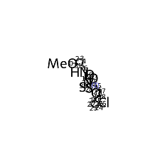 COc1cccc(CNC(=O)CN2C(=O)/C(=C/c3ccc(-c4ccccc4Cl)o3)SC2=S)c1